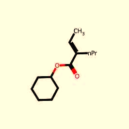 CC=C(CCC)C(=O)OC1CCCCC1